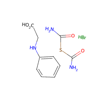 Br.NC(=O)SC(N)=O.O=C(O)CNc1ccccc1